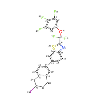 Fc1cc(OC(F)(F)c2nc3ccc(-c4ccc5c(c4)CCC(I)C5)cc3s2)cc(F)c1F